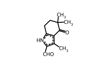 Cc1c(C=O)[nH]c2c1C(=O)C(C)(C)CC2